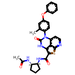 CC(=O)N[C@H]1CCC[C@@H]1NC(=O)c1sc2nccc3c2c1NC(=O)N3c1ccc(Oc2ccccc2)cc1C